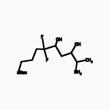 CCCCCCCCCCCCC(F)(F)C(O)CC(O)C(C)N